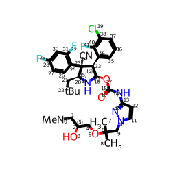 CNC[C@H](O)COC(C)(C)Cn1ccc(NC(=O)O[C@H]2N[C@@H](CC(C)(C)C)[C@](C#N)(c3ccc(F)cc3F)[C@H]2c2cccc(Cl)c2F)n1